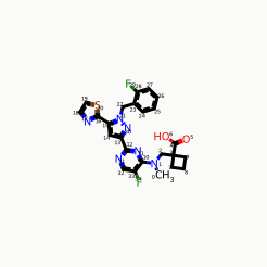 CN(CC1(C(=O)O)CCC1)c1nc(-c2cc(-c3nccs3)n(Cc3ccccc3F)n2)ncc1F